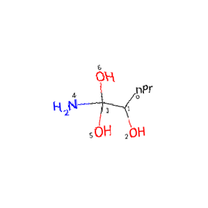 CCCC(O)C(N)(O)O